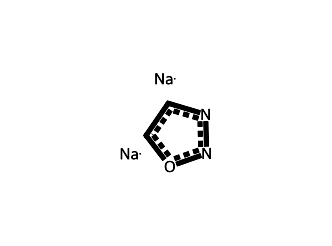 [Na].[Na].c1conn1